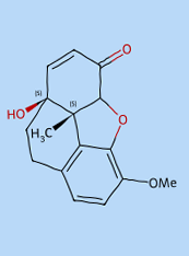 COc1ccc2c3c1OC1C(=O)C=C[C@@](O)(CC2)[C@@]31C